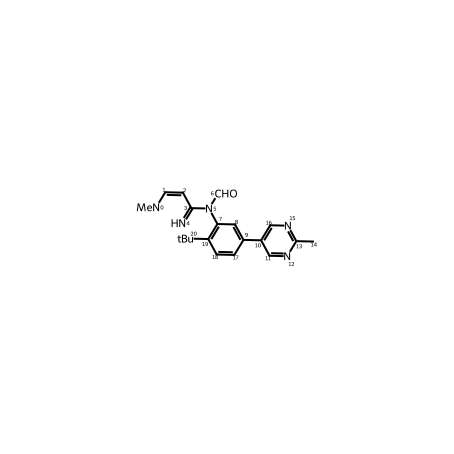 CN/C=C\C(=N)N(C=O)c1cc(-c2cnc(C)nc2)ccc1C(C)(C)C